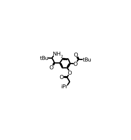 CC(C)CC(=O)Oc1cc(C(=O)C(N)C(C)(C)C)ccc1OC(=O)C(C)(C)C